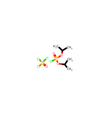 CC(C)OP(=O)(Cl)OC(C)C.O=P(Cl)(Cl)Cl